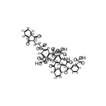 O=C(c1cccc(S(=O)(=O)O)c1)c1c2c3c(c(Nc4c(S(=O)(=O)O)cc(S(=O)(=O)CCC5C(=O)c6ccccc6C5=O)cc4S(=O)(=O)O)cc(S(=O)(=O)O)c3[nH]c1=O)C(=O)c1ccccc1-2